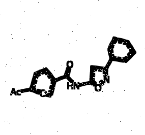 CC(=O)c1ccc(C(=O)Nc2cc(-c3ccccc3)no2)cc1